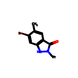 Cc1cc2c(=O)n(C(C)C)[nH]c2cc1Br